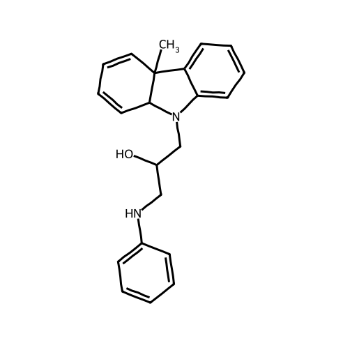 CC12C=CC=CC1N(CC(O)CNc1ccccc1)c1ccccc12